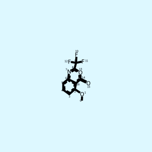 COc1cccc2nc(C(F)(F)F)oc(=O)c12